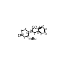 CCCC[C@@H]1CC(=O)CC[C@@H]1N(Cc1ccccc1)C(=O)O